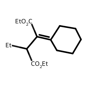 CCOC(=O)C(=C1CCCCC1)C(CC)C(=O)OCC